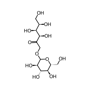 O=C(COC1O[C@H](CO)[C@@H](O)[C@H](O)[C@H]1O)[C@H](O)[C@@H](O)[C@H](O)CO